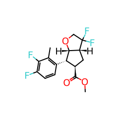 COC(=O)[C@@H]1C[C@@H]2[C@@H](OCC2(F)F)[C@H]1c1ccc(F)c(F)c1C